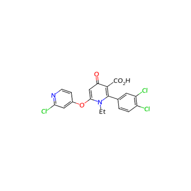 CCn1c(Oc2ccnc(Cl)c2)cc(=O)c(C(=O)O)c1-c1ccc(Cl)c(Cl)c1